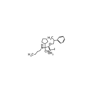 CCCCNC(C)(C(OCC(C)c1ccccc1)=C(C)I)C1CCCC1